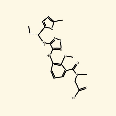 CC[C@@H](Nc1nsnc1Nc1cccc(C(=O)N(C)CC(=O)O)c1OC)c1ccc(C)o1